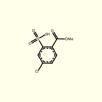 COC(=O)c1ccc(Cl)cc1S(=O)(=O)S